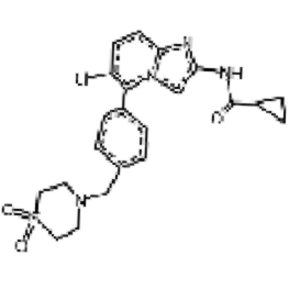 O=C(Nc1cn2c(-c3ccc(CN4CCS(=O)(=O)CC4)cc3)c(Cl)ccc2n1)C1CC1